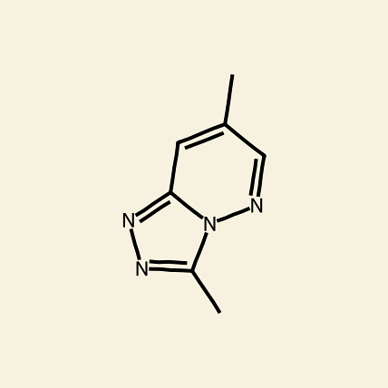 Cc1cnn2c(C)nnc2c1